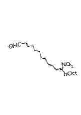 CCCCCCCC/C(=C/CCCCCCCCC[C]=O)[N+](=O)[O-]